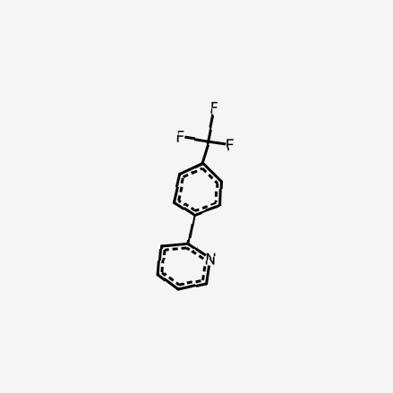 FC(F)(F)c1ccc(-c2ccccn2)cc1